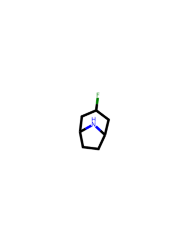 FC1CC2CCC(C1)N2